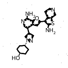 Nc1sc2cnccc2c1-c1cc2c(-c3cnn([C@H]4CC[C@H](O)CC4)c3)cnc(N)c2o1